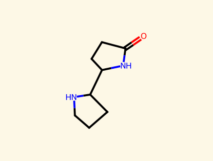 O=C1CCC(C2CCCN2)N1